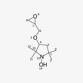 CC1(C)CC(OCC2CO2)C(C)(C)N1O